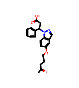 CC(=O)CCCOc1ccc2c(cnn2C(CC(=O)O)c2ccccc2)c1